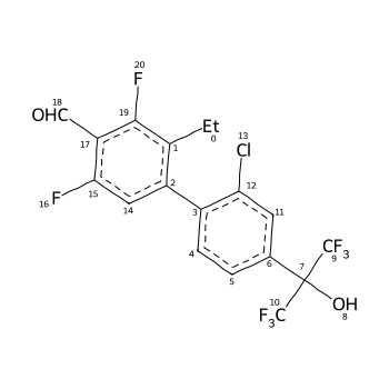 CCc1c(-c2ccc(C(O)(C(F)(F)F)C(F)(F)F)cc2Cl)cc(F)c(C=O)c1F